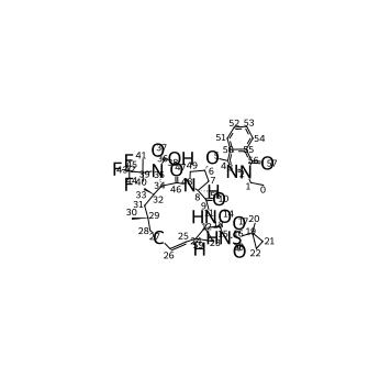 CCn1nc(O[C@@H]2C[C@H]3C(=O)N[C@]4(C(=O)NS(=O)(=O)C5(C)CC5)C[C@H]4C=CCC[C@@H](C)C[C@@H](C)[C@H](N(C(=O)O)C(C)(C)C(F)(F)F)C(=O)N3C2)c2ccccc2c1=O